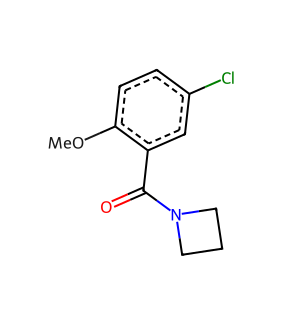 COc1ccc(Cl)cc1C(=O)N1CCC1